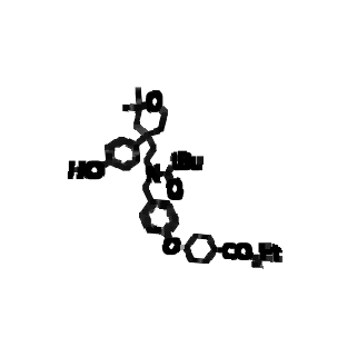 CCOC(=O)[C@H]1CC[C@H](Oc2ccc(CN(CCC3(c4ccc(O)cc4)CCOC(C)(C)C3)C(=O)C(C)(C)C)cc2)CC1